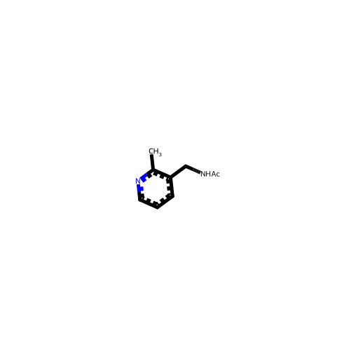 CC(=O)NCc1cccnc1C